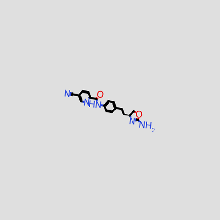 N#Cc1ccc(C(=O)Nc2ccc(CC[C@H]3COC(N)=N3)cc2)nc1